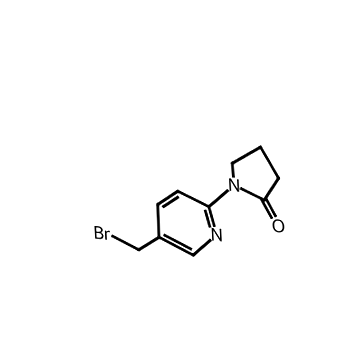 O=C1CCCN1c1ccc(CBr)cn1